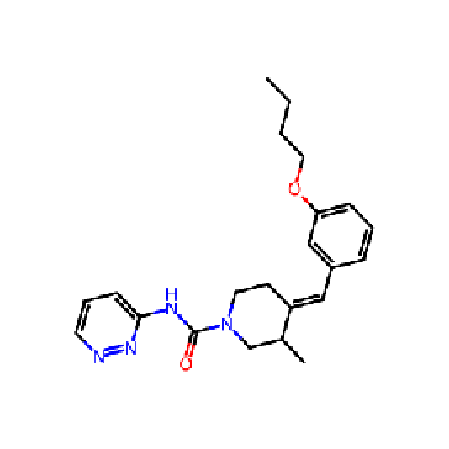 CCCCOc1cccc(/C=C2\CCN(C(=O)Nc3cccnn3)CC2C)c1